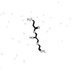 C=CCOCC(O)COC(=O)CCC